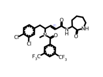 CN(C(=O)c1cc(C(F)(F)F)cc(C(F)(F)F)c1)C(/C=C/C(=O)NC1CCCCNC1=O)Cc1ccc(Cl)c(Cl)c1